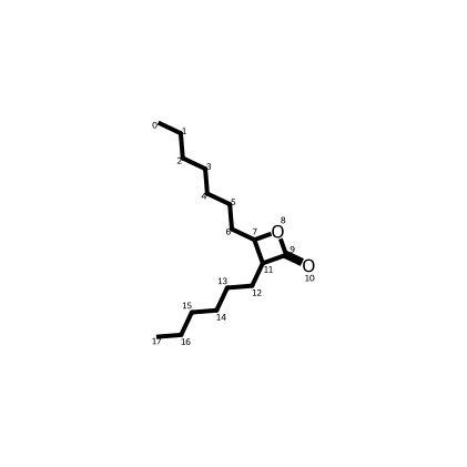 CCCCCCCC1OC(=O)C1CCCCCC